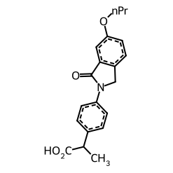 CCCOc1ccc2c(c1)C(=O)N(c1ccc(C(C)C(=O)O)cc1)C2